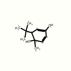 CC(C)(C)C1C=C(O)C=CC1(C)O